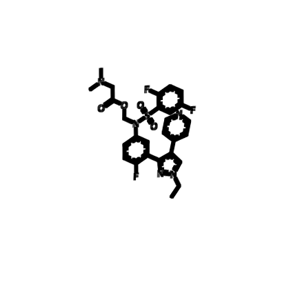 CCn1cc(-c2ccncc2)c(-c2cc(N(COC(=O)CN(C)C)S(=O)(=O)c3cc(F)ccc3F)ccc2F)n1